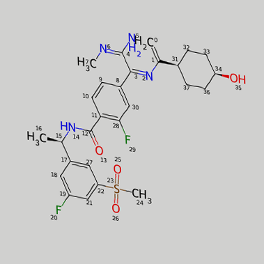 C=C(/N=C(\C(N)=N/C)c1ccc(C(=O)N[C@H](C)c2cc(F)cc(S(C)(=O)=O)c2)c(F)c1)[C@H]1CC[C@@H](O)CC1